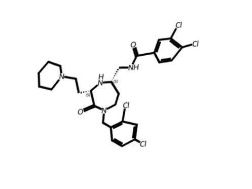 O=C(NC[C@@H]1CCN(Cc2ccc(Cl)cc2Cl)C(=O)[C@H](CCN2CCCCC2)N1)c1ccc(Cl)c(Cl)c1